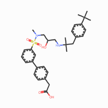 CN(CC(O)CNC(C)(C)Cc1ccc(C(C)(C)C)cc1)S(=O)(=O)c1cccc(-c2ccc(CC(=O)O)cc2)c1